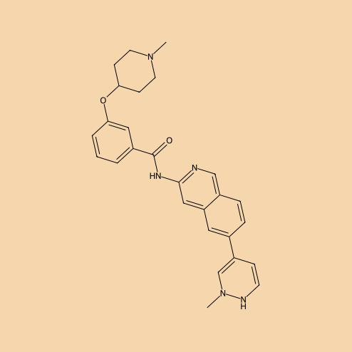 CN1CCC(Oc2cccc(C(=O)Nc3cc4cc(C5=CN(C)NC=C5)ccc4cn3)c2)CC1